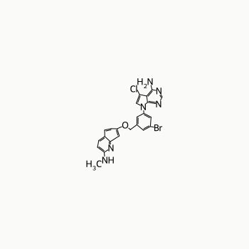 CNc1ccc2ccc(OCc3cc(Br)cc(-n4cc(Cl)c5c(N)ncnc54)c3)cc2n1